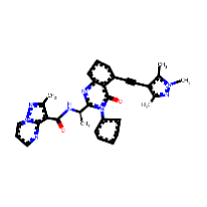 Cc1nn(C)c(C)c1C#Cc1cccc2nc([C@@H](C)NC(=O)c3c(C)nn4cccnc34)n(-c3ccccc3)c(=O)c12